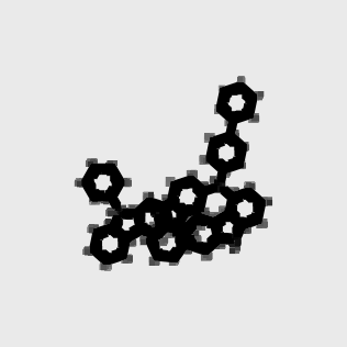 c1ccc(-c2ccc(N(c3ccc4oc5ccccc5c4c3)c3cccc4oc5ccc(-c6ccc7c(c6)c6ccccc6n7-c6ccccc6)cc5c34)cc2)cc1